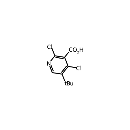 CC(C)(C)c1cnc(Cl)c(C(=O)O)c1Cl